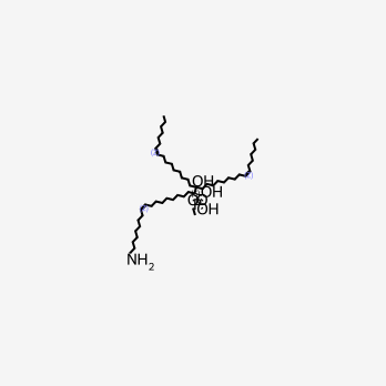 CCCCCC/C=C\CCCCCCCCC(O)(CCCCCCCC/C=C\CCCCCC)[C@@](CO)(CCCCCCCC/C=C\CCCCCCCCN)OP(=O)(O)CC